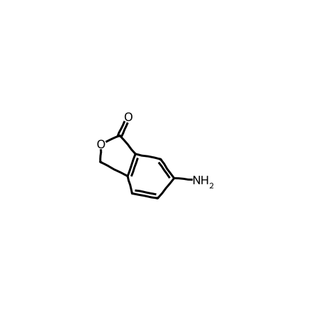 Nc1ccc2c(c1)C(=O)OC2